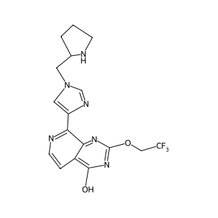 Oc1nc(OCC(F)(F)F)nc2c(-c3cn(CC4CCCN4)cn3)nccc12